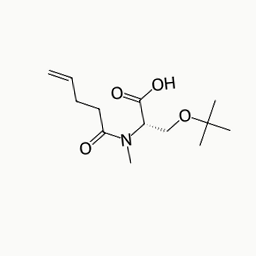 C=CCCC(=O)N(C)[C@@H](COC(C)(C)C)C(=O)O